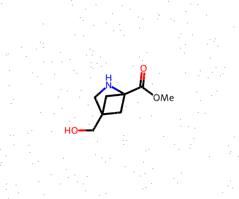 COC(=O)C12CC(CO)(CN1)C2